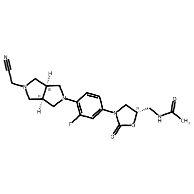 CC(=O)NC[C@H]1CN(c2ccc(N3C[C@H]4CN(CC#N)C[C@H]4C3)c(F)c2)C(=O)O1